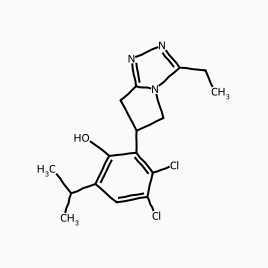 CCc1nnc2n1CC(c1c(O)c(C(C)C)cc(Cl)c1Cl)C2